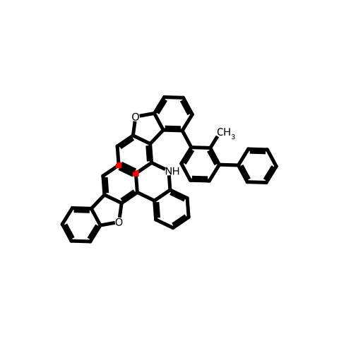 Cc1c(-c2ccccc2)cccc1-c1cccc2oc3cccc(Nc4ccccc4-c4cccc5c4oc4ccccc45)c3c12